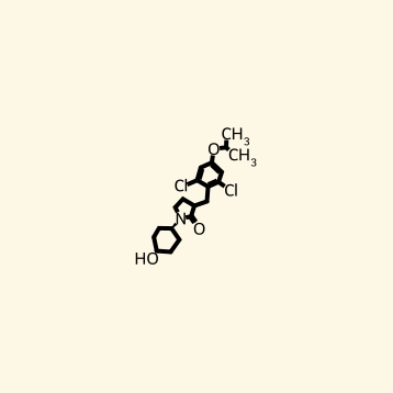 CC(C)Oc1cc(Cl)c(CC2CCN([C@H]3CC[C@@H](O)CC3)C2=O)c(Cl)c1